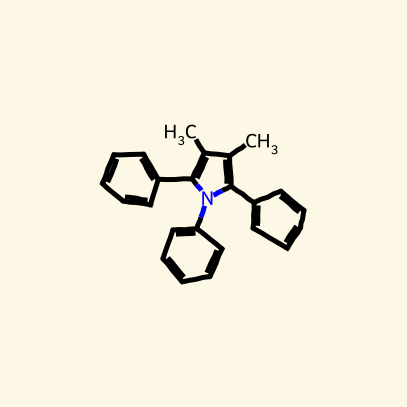 Cc1c(C)c(-c2ccccc2)n(-c2ccccc2)c1-c1ccccc1